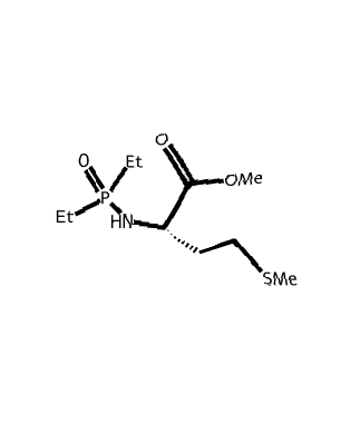 CCP(=O)(CC)N[C@@H](CCSC)C(=O)OC